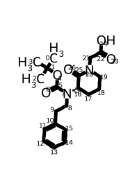 CC(C)(C)OC(=O)N(CCc1ccccc1)[C@H]1CCCN(CC(=O)O)C1=O